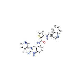 CN(/C(=N\C#N)Nc1cccc(NC(=O)c2sccc2NCc2ccnc3ccccc23)c1)c1cccnc1